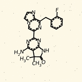 CC1(C)C(=O)Nc2nc(-c3cn4ccnc4c(Cc4ccccc4F)n3)nc(N)c21